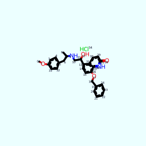 COc1ccc(CC(C)NCC(O)c2ccc(OCc3ccccc3)c3[nH]c(=O)ccc23)cc1.Cl